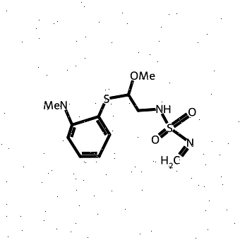 C=NS(=O)(=O)NCC(OC)Sc1ccccc1NC